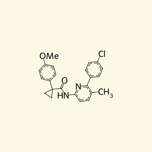 COc1ccc(C2(C(=O)Nc3ccc(C)c(-c4ccc(Cl)cc4)n3)CC2)cc1